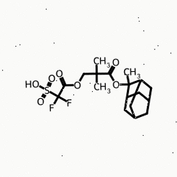 CC(C)(COC(=O)C(F)(F)S(=O)(=O)O)C(=O)OC1(C)C2CC3CC(C2)CC1C3